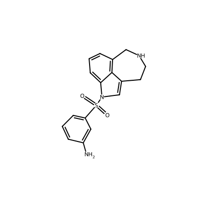 Nc1cccc(S(=O)(=O)n2cc3c4c(cccc42)CNCC3)c1